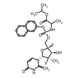 C=C1NC(=O)C=CN1[C@@H]1O[C@](F)(COP(=O)(NC(C)C(=O)OC(C)C)Oc2ccc3ccccc3c2)[C@@H](O)[C@@]1(C)F